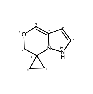 C1=CC2=COCC3(CC3)N2N1